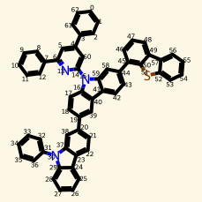 c1ccc(-c2cc(-c3ccccc3)nc(-n3c4ccc(-c5ccc6c7ccccc7n(-c7ccccc7)c6c5)cc4c4ccc(-c5cccc6c5sc5ccccc56)cc43)c2)cc1